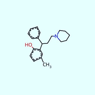 Cc1ccc(O)c(C(CCN2CCCCC2)c2ccccc2)c1